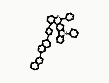 c1ccc(-c2nc3cccc(-c4ccc(-c5ccc6cc(-c7ccc8ccccc8c7)ccc6c5)cc4)c3c3cc4c5ccccc5n(-c5ccccc5)c4cc23)cc1